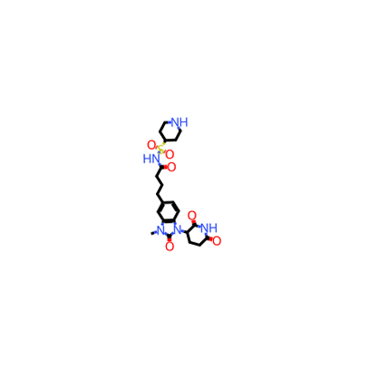 Cn1c(=O)n(C2CCC(=O)NC2=O)c2ccc(CCCC(=O)NS(=O)(=O)C3CCNCC3)cc21